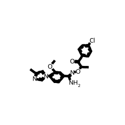 COc1cc(/C(N)=N/OC(C)C(=O)c2ccc(Cl)cc2)ccc1-n1cnc(C)c1